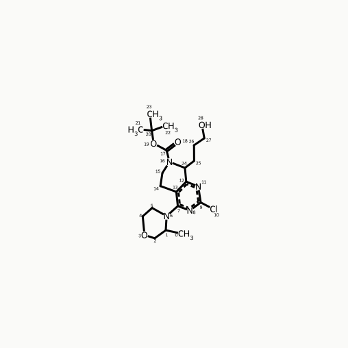 CC1COCCN1c1nc(Cl)nc2c1CCN(C(=O)OC(C)(C)C)C2CCCO